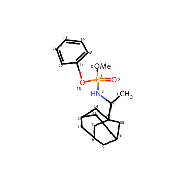 COP(=O)(NC(C)C12CC3CC(CC(C3)C1)C2)Oc1ccccc1